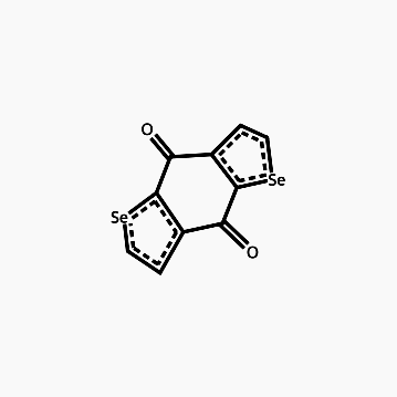 O=C1c2cc[se]c2C(=O)c2cc[se]c21